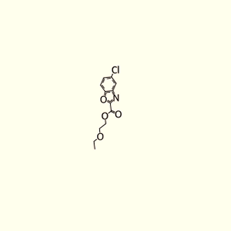 CCOCCOC(=O)c1nc2cc(Cl)ccc2o1